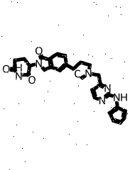 O=C1CCC(N2Cc3cc(C4CCN(Cc5ccnc(Nc6ccccc6)n5)CC4)ccc3C2=O)C(=O)N1